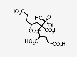 O=C(O)CCC(CC(CC(CCC(=O)O)C(=O)O)(C(=O)O)P(=O)(O)O)C(=O)O